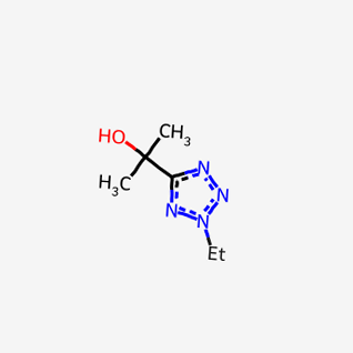 CCn1nnc(C(C)(C)O)n1